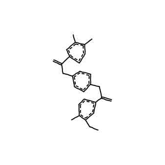 C=C(Cc1ccc(CC(=C)c2ccc(C)c(CC)c2)cc1)c1ccc(C)c(C)c1